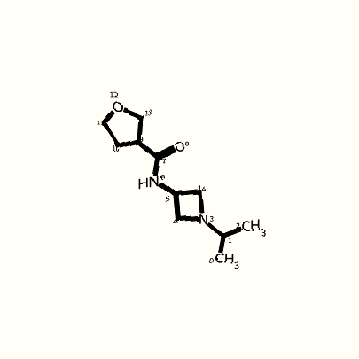 CC(C)N1CC(NC(=O)C2CCOC2)C1